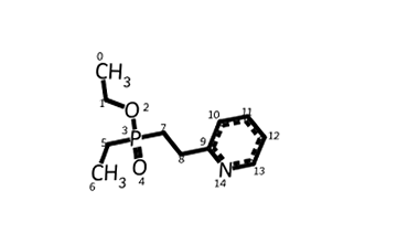 CCOP(=O)(CC)CCc1ccccn1